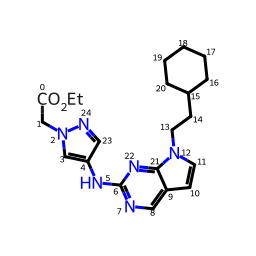 CCOC(=O)Cn1cc(Nc2ncc3ccn(CCC4CCCCC4)c3n2)cn1